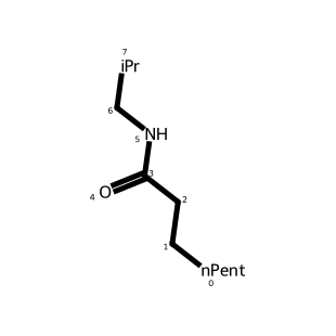 [CH2]CCCCCCC(=O)NCC(C)C